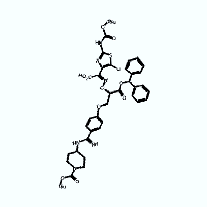 CC(C)(C)OC(=O)Nc1nc(/C(=N/OC(COc2ccc(C(=N)NC3CCN(C(=O)OC(C)(C)C)CC3)cc2)C(=O)OC(c2ccccc2)c2ccccc2)C(=O)O)c(Cl)s1